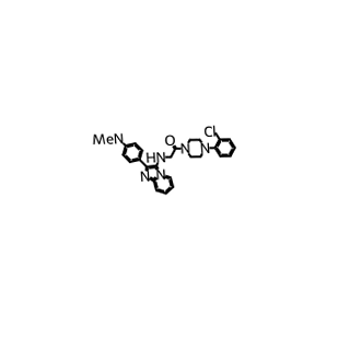 CNc1ccc(-c2nc3ccccn3c2NCC(=O)N2CCN(c3ccccc3Cl)CC2)cc1